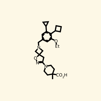 CCOc1cc(CN2CC3(CC(N4CCC(C)(C(=O)O)CC4)=NO3)C2)cc(C2CC2)c1C1CCC1